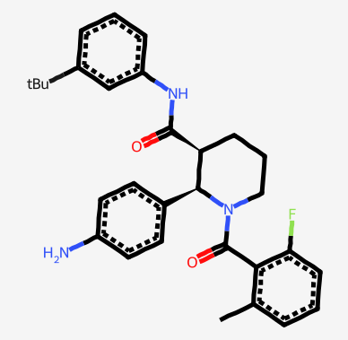 Cc1cccc(F)c1C(=O)N1CCC[C@H](C(=O)Nc2cccc(C(C)(C)C)c2)[C@@H]1c1ccc(N)cc1